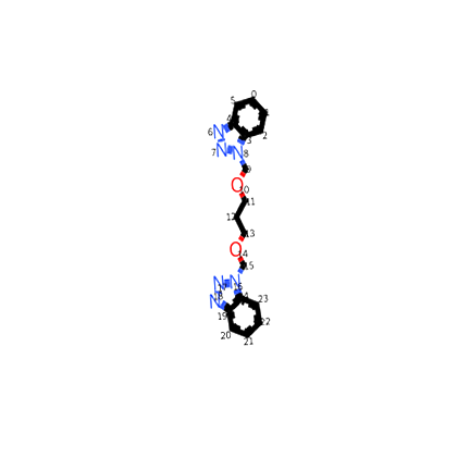 c1ccc2c(c1)nnn2COCCCOCn1nnc2ccccc21